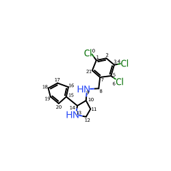 Clc1cc(Cl)c(Cl)c(CNC2CCNC2c2ccccc2)c1